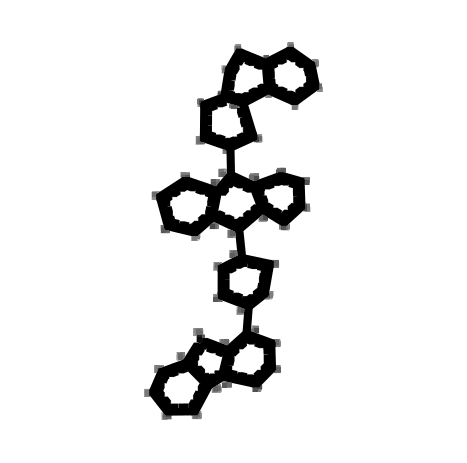 c1ccc2c(c1)ccc1ccc(-c3c4ccccc4c(-c4ccc(-c5cccc6c5sc5ccccc56)cc4)c4ccccc34)cc12